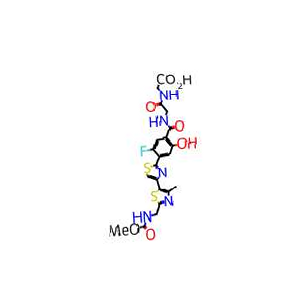 COC(=O)NCc1nc(C)c(-c2csc(-c3cc(O)c(C(=O)NCC(=O)NCC(=O)O)cc3F)n2)s1